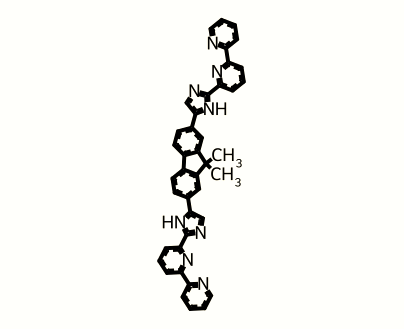 CC1(C)c2cc(-c3cnc(-c4cccc(-c5ccccn5)n4)[nH]3)ccc2-c2ccc(-c3cnc(-c4cccc(-c5ccccn5)n4)[nH]3)cc21